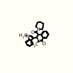 CN1C(=O)c2ccccc2C(C(=O)N2CCCCCC2)C1c1cn(C)c2ccccc12